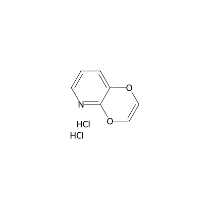 C1=COc2ncccc2O1.Cl.Cl